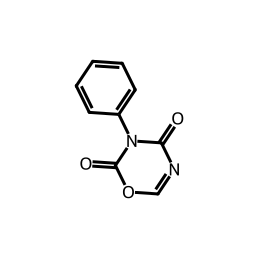 O=c1ncoc(=O)n1-c1ccccc1